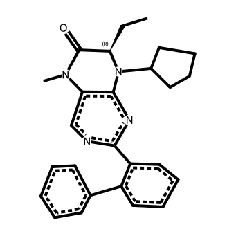 CC[C@@H]1C(=O)N(C)c2cnc(-c3ccccc3-c3ccccc3)nc2N1C1CCCC1